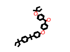 CCC(C)(CC)Oc1ccc(C(=O)c2ccc(Oc3ccc(C(C)(C)c4ccc(C(C)(CC)CC)cc4)cc3)cc2)cc1